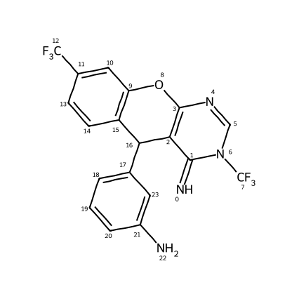 N=c1c2c(ncn1C(F)(F)F)Oc1cc(C(F)(F)F)ccc1C2c1cccc(N)c1